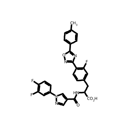 Cc1ccc(-c2nc(-c3ccc(CC(NC(=O)c4cnn(-c5ccc(F)c(F)c5)c4)C(=O)O)cc3F)no2)cc1